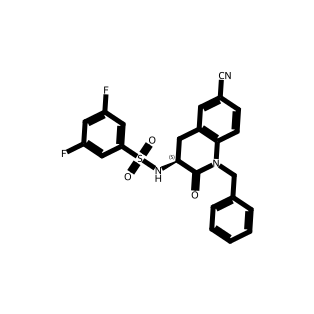 N#Cc1ccc2c(c1)C[C@H](NS(=O)(=O)c1cc(F)cc(F)c1)C(=O)N2Cc1ccccc1